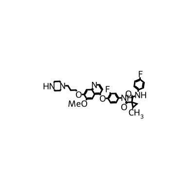 COc1cc2c(Oc3ccc(NC(=O)C4(C(=O)Nc5ccc(F)cc5)C[C@H]4C)cc3F)ccnc2cc1OCCCN1CCNCC1